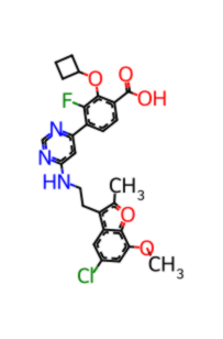 COc1cc(Cl)cc2c(CCNc3cc(-c4ccc(C(=O)O)c(OC5CCC5)c4F)ncn3)c(C)oc12